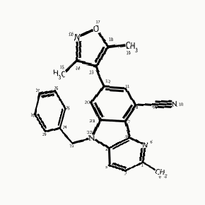 Cc1ccc2c(n1)c1c(C#N)cc(-c3c(C)noc3C)cc1n2Cc1ccccc1